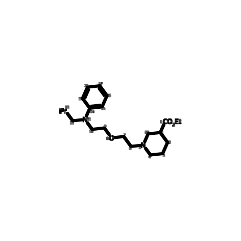 CCOC(=O)C1CCCN(CCOCCN(CC(C)C)c2ccccc2)C1